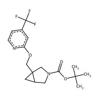 CC(C)(C)OC(=O)N1CC2CC2(COc2cc(C(F)(F)F)ccn2)C1